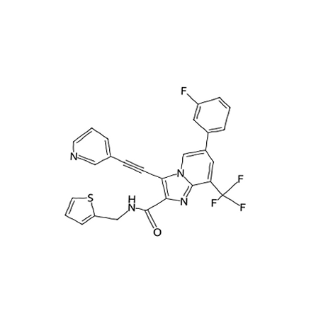 O=C(NCc1cccs1)c1nc2c(C(F)(F)F)cc(-c3cccc(F)c3)cn2c1C#Cc1cccnc1